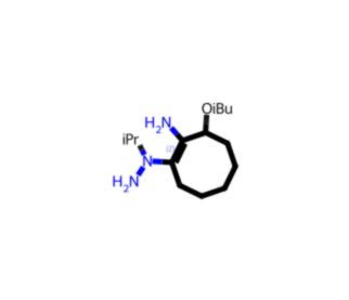 CC(C)COC1CCCCC/C(N(N)C(C)C)=C\1N